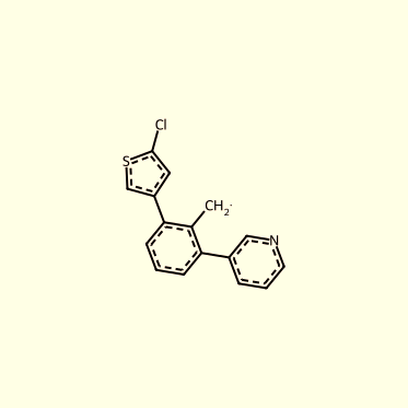 [CH2]c1c(-c2cccnc2)cccc1-c1csc(Cl)c1